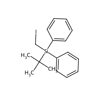 CC(C)(C)[Si](CI)(c1ccccc1)c1ccccc1